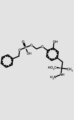 C[C@@](Cc1ccc(OCOP(=O)(O)OCc2ccccc2)c(O)c1)(NN)C(=O)O